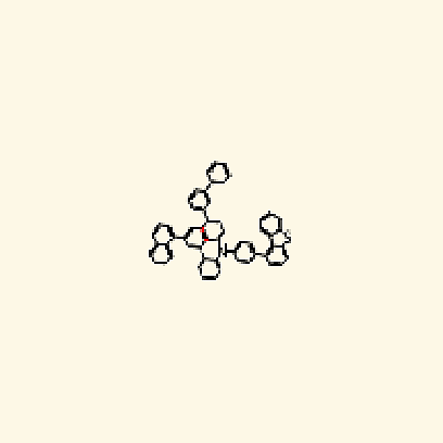 c1ccc(-c2cccc(-c3ccc(N(c4ccc(-c5cccc6sc7ccccc7c56)cc4)c4ccccc4-c4cccc(-c5cccc6ccccc56)c4)cc3)c2)cc1